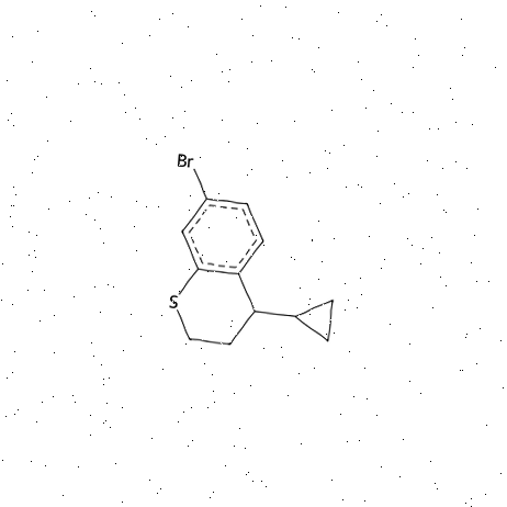 Brc1ccc2c(c1)SCCC2C1CC1